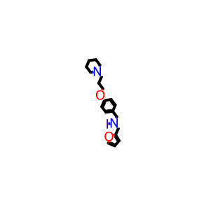 IN(Cc1ccc(OCCCN2CCCCC2)cc1)Cc1ccco1